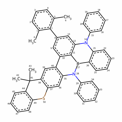 Cc1cccc(C)c1-c1cc2c3c(c1)N(c1ccccc1)c1ccccc1B3N(c1ccccc1)c1cc3c(cc1-2)C(C)(C)c1ccccc1S3